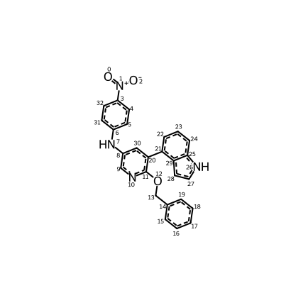 O=[N+]([O-])c1ccc(Nc2cnc(OCc3ccccc3)c(-c3cccc4[nH]ccc34)c2)cc1